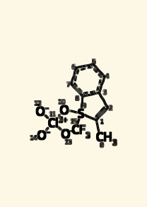 CC1=Cc2ccccc2S1(O[Cl+3]([O-])([O-])[O-])C(F)(F)F